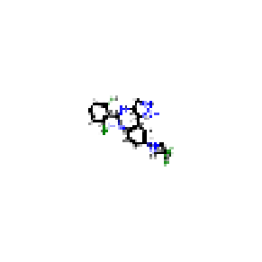 Fc1cccc(F)c1C1=Nc2cn[nH]c2-c2cc(N3CC(F)(F)C3)ccc2N1